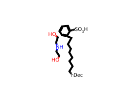 CCCCCCCCCCCCCCCCCCc1ccccc1S(=O)(=O)O.OCCNCCO